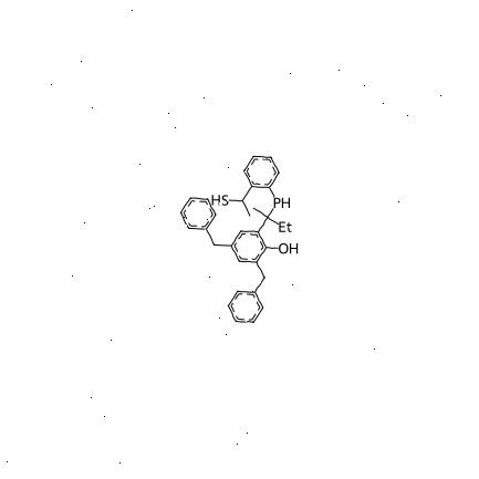 CCC(C)(Pc1ccccc1C(C)S)c1cc(Cc2ccccc2)cc(Cc2ccccc2)c1O